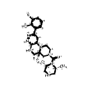 C[C@@H]1CNC[C@H](C)N1C(=O)N1CCN2c3cc(-c4cccc(F)c4O)nnc3NCC2(C(F)(F)F)C1